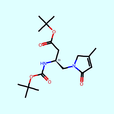 CC1=CC(=O)N(C[C@H](CC(=O)OC(C)(C)C)NC(=O)OC(C)(C)C)C1